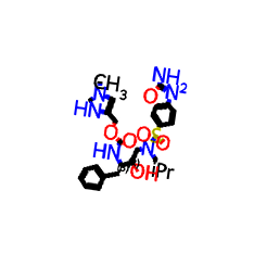 CC(C)CN(C[C@@H](O)[C@H](Cc1ccccc1)NC(=O)OCC1=CN(C)CN1)S(=O)(=O)c1ccc2nc(N)oc2c1